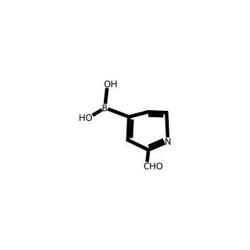 O=Cc1cc(B(O)O)ccn1